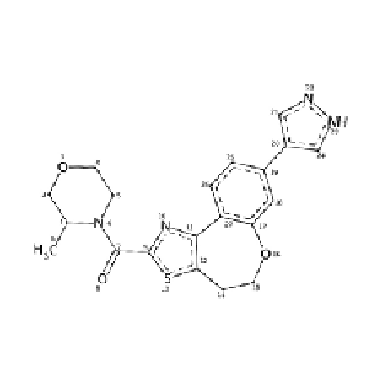 CC1COCCN1C(=O)c1nc2c(s1)CCOc1cc(-c3cn[nH]c3)ccc1-2